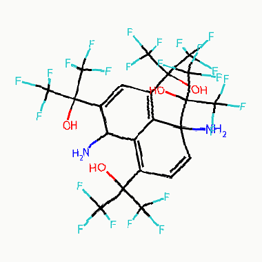 NC1C(C(O)(C(F)(F)F)C(F)(F)F)=CC(C(O)(C(F)(F)F)C(F)(F)F)=C2C1=C(C(O)(C(F)(F)F)C(F)(F)F)C=CC2(N)C(O)(C(F)(F)F)C(F)(F)F